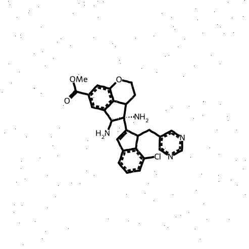 COC(=O)c1cc2c3c(c1)C(N)[C@](N)(C1=Cc4cccc(Cl)c4C1Cc1cncnc1)C3CCO2